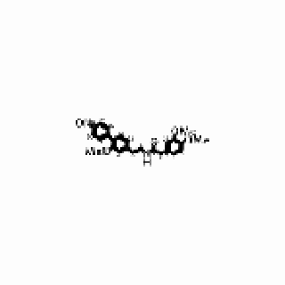 COc1ccc(CC(=O)NCCc2ccc(-c3ccc(N=O)cc3)c(OC)c2)cc1OC